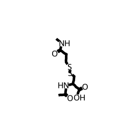 CNC(=O)CCSSCC(NC(C)=O)C(=O)O